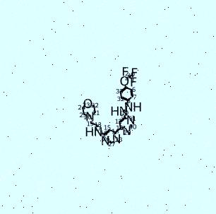 FC(F)(F)Oc1ccc(NNc2cc(-c3cc(NCCN4CCOCC4)ncn3)ncn2)cc1